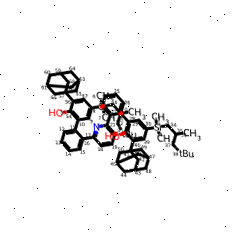 CC(CC(C)(C)C)C[Si](C)(C)c1cc(-c2ccccc2-c2cccc(-c3ccccc3-c3cc([Si](C)(C)CC(C)CC(C)(C)C)cc(C45CC6CC(CC(C6)C4)C5)c3O)n2)c(O)c(C23CC4CC(CC(C4)C2)C3)c1